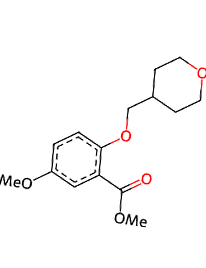 COC(=O)c1cc(OC)ccc1OCC1CCOCC1